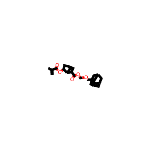 C=C(C)C(=O)OC1CC2CC(C(=O)OCOCC34CC5CC(CC(C5)C3)C4)C1C2